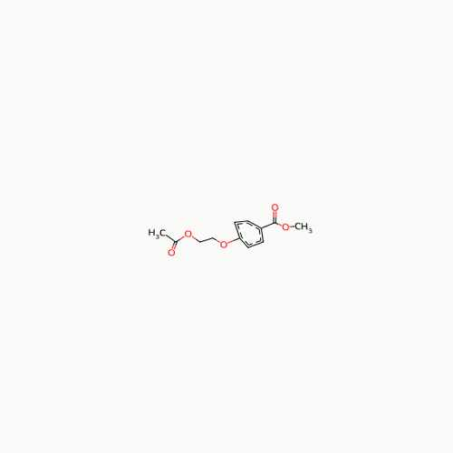 COC(=O)c1ccc(OCCOC(C)=O)cc1